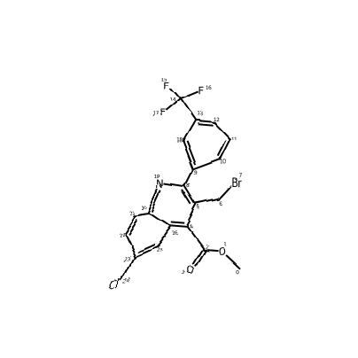 COC(=O)c1c(CBr)c(-c2cccc(C(F)(F)F)c2)nc2ccc(Cl)cc12